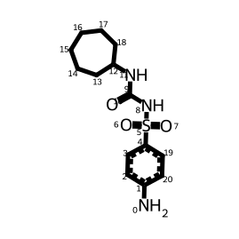 Nc1ccc(S(=O)(=O)NC(=O)NC2CCCCCC2)cc1